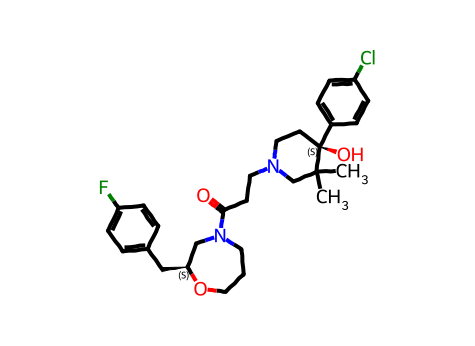 CC1(C)CN(CCC(=O)N2CCCO[C@@H](Cc3ccc(F)cc3)C2)CC[C@]1(O)c1ccc(Cl)cc1